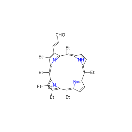 CCC1=C(C=CC=O)c2nc1c(CC)c1c(CC)c(CC)c(c(CC)c3nc(c(CC)c4ccc([nH]4)c2CC)C=C3)n1CC